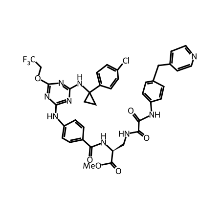 COC(=O)[C@H](CNC(=O)C(=O)Nc1ccc(Cc2ccncc2)cc1)NC(=O)c1ccc(Nc2nc(NC3(c4ccc(Cl)cc4)CC3)nc(OCC(F)(F)F)n2)cc1